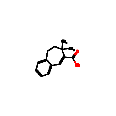 CC1(C)CCc2ccccc2C=C1C(=O)O